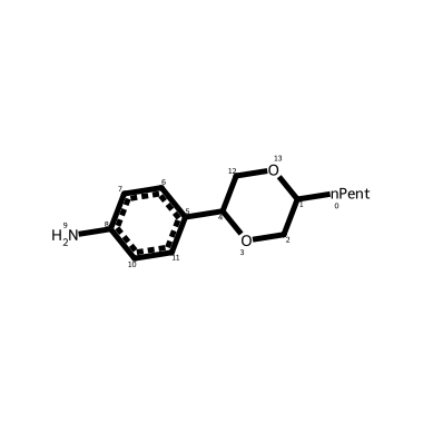 CCCCCC1COC(c2ccc(N)cc2)CO1